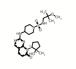 COC(C)(C)CNS(=O)(=O)N1CCC(Nc2ncc3ccc(=O)n([C@H]4CCC[C@]4(C)O)c3n2)CC1